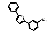 O=[N+]([O-])c1cccc(-c2ccc(-c3ccccc3)s2)c1